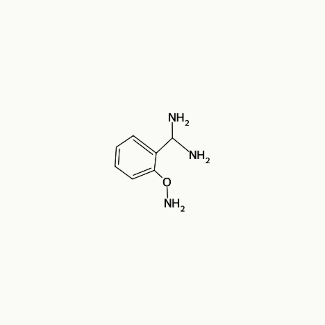 NOc1ccccc1C(N)N